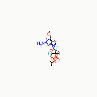 COCc1nc(N)nc2c1ncn2[C@@H]1O[C@]2(F)COP(=O)(OC(C)C)O[C@H]2[C@@]1(C)F